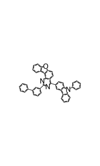 c1ccc(-c2cccc(-c3nc(-c4ccc5c(c4)c4ccccc4n5-c4ccccc4)c4ccc5oc6ccccc6c5c4n3)c2)cc1